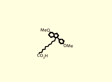 COc1ccc(-c2ccc3cc(OC)ccc3c2CCCCCCCCCCC(=O)O)cc1